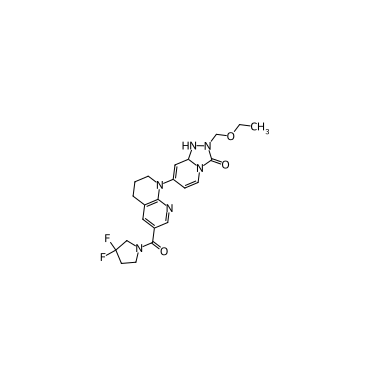 CCOCN1NC2C=C(N3CCCc4cc(C(=O)N5CCC(F)(F)C5)cnc43)C=CN2C1=O